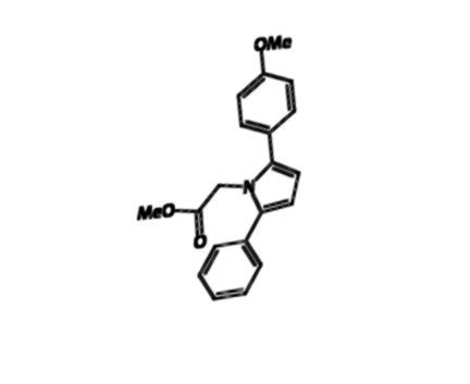 COC(=O)Cn1c(-c2ccccc2)ccc1-c1ccc(OC)cc1